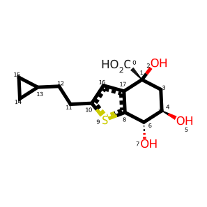 O=C(O)[C@@]1(O)C[C@@H](O)[C@H](O)c2sc(CCC3CC3)cc21